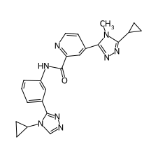 Cn1c(-c2ccnc(C(=O)Nc3cccc(-c4nncn4C4CC4)c3)c2)nnc1C1CC1